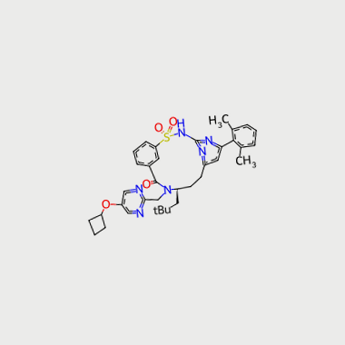 Cc1cccc(C)c1-c1cc2nc(n1)NS(=O)(=O)c1cccc(c1)C(=O)N(Cc1ncc(OC3CCC3)cn1)[C@H](CC(C)(C)C)CC2